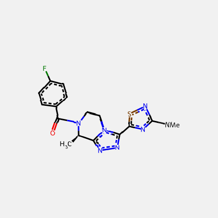 CNc1nsc(-c2nnc3n2CCN(C(=O)c2ccc(F)cc2)[C@@H]3C)n1